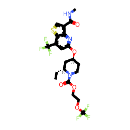 CC[C@@H]1C[C@@H](Oc2cc(C(F)(F)F)c3scc(C(=O)NC)c3n2)CCN1C(=O)OCCOC(F)(F)F